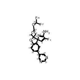 NC1=NC2(C=C1F)c1cc(-c3cncnc3)ccc1OC21CCC(OC(F)F)CC1